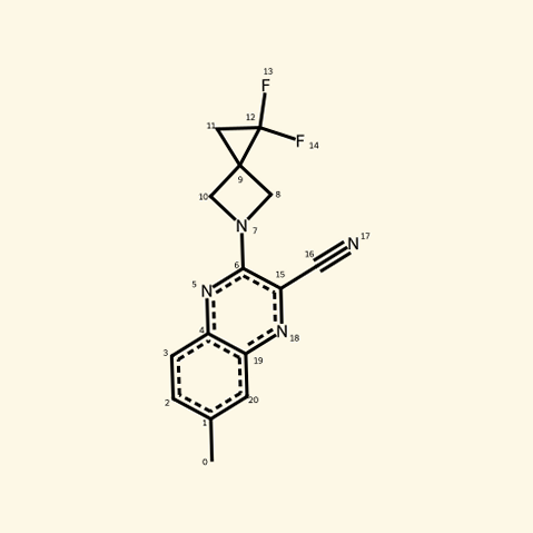 Cc1ccc2nc(N3CC4(C3)CC4(F)F)c(C#N)nc2c1